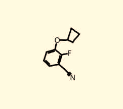 N#Cc1cccc(OC2CCC2)c1F